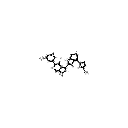 Cc1ccc(-c2cncc3[nH]c(-c4n[nH]c5cnc(-c6cncc(N)c6)c(F)c45)nc23)s1